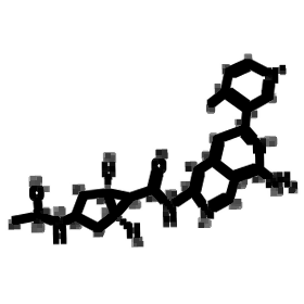 Cc1ccncc1-c1cc2cc(NC(=O)C3[C@H]4CC(N[S+](C)[O-])C[C@@H]34)ncc2c(N)n1